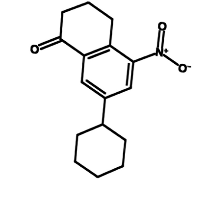 O=C1CCCc2c1cc(C1CCCCC1)cc2[N+](=O)[O-]